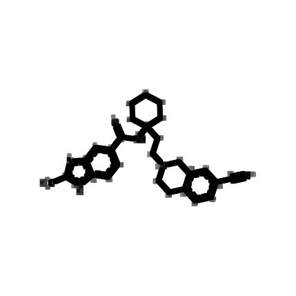 Cc1nc2cc(C(=O)NC3(CCN4CCc5ccc(C#N)cc5C4)CCCCC3)ccc2[nH]1